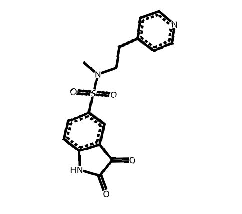 CN(CCc1ccncc1)S(=O)(=O)c1ccc2c(c1)C(=O)C(=O)N2